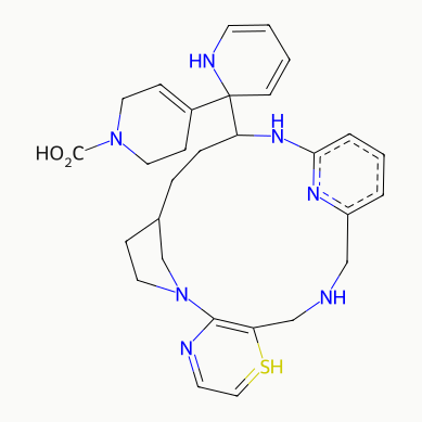 O=C(O)N1CC=C(C2(C3CCC4CCN(C4)C4=C(CNCc5cccc(n5)N3)[SH]=CC=N4)C=CC=CN2)CC1